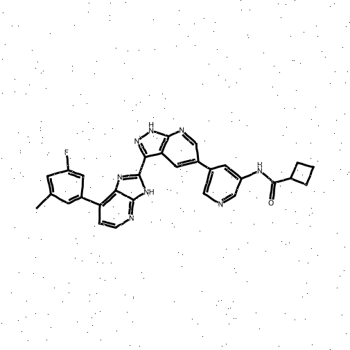 Cc1cc(F)cc(-c2ccnc3[nH]c(-c4n[nH]c5ncc(-c6cncc(NC(=O)C7CCC7)c6)cc45)nc23)c1